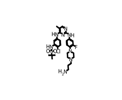 Cc1cnc(Nc2ccc(N3CCN(CCCN)CC3)c(F)c2)nc1Nc1ccc(Cl)c(NS(=O)(=O)C(C)(C)C)c1